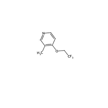 Cc1[c]nccc1OCC(F)(F)F